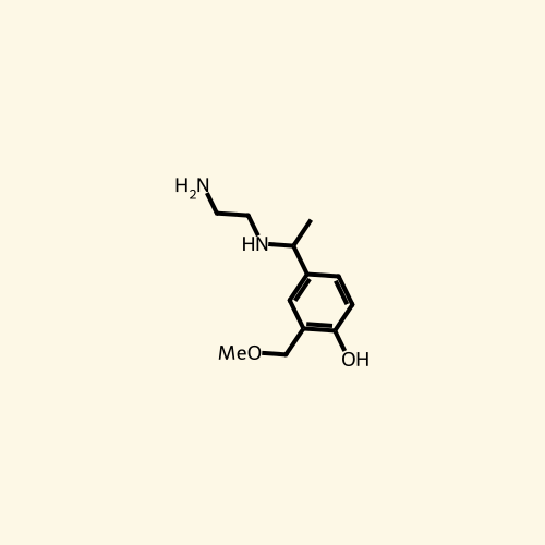 COCc1cc(C(C)NCCN)ccc1O